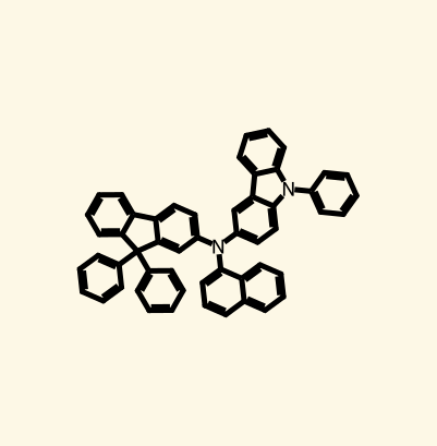 c1ccc(-n2c3ccccc3c3cc(N(c4ccc5c(c4)C(c4ccccc4)(c4ccccc4)c4ccccc4-5)c4cccc5ccccc45)ccc32)cc1